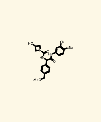 COCc1ccc(C(NC(=O)N2CC(O)C2)C(=O)Nc2ccc(C(C)(C)C)c(C#N)c2)cc1